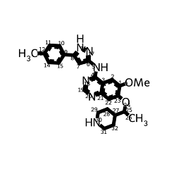 COc1cc2c(Nc3cc(-c4ccc(C)cc4)[nH]n3)ncnc2cc1OC(C)C1CCNCC1